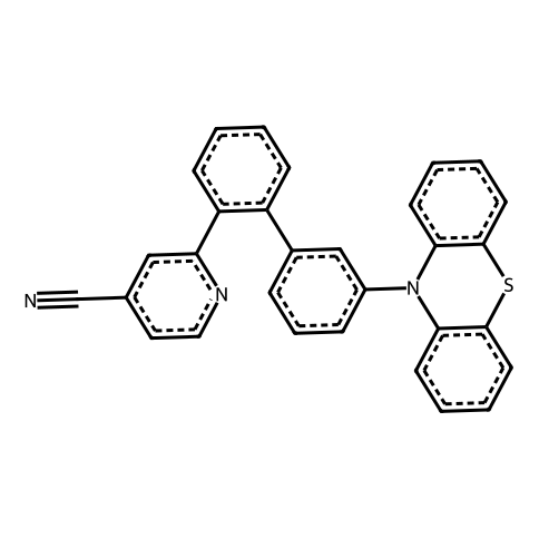 N#Cc1ccnc(-c2ccccc2-c2cccc(N3c4ccccc4Sc4ccccc43)c2)c1